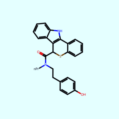 CCCN(CCc1ccc(O)cc1)C(=O)C1Sc2ccccc2-c2[nH]c3ccccc3c21